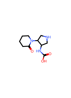 O=C(O)NC1CNCC1N1CCCCC1=O